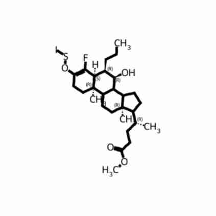 CCC[C@H]1[C@@H](O)C2C3CCC([C@H](C)CCC(=O)OC)[C@@]3(C)CCC2[C@@]2(C)CCC(OSI)=C(F)[C@@H]12